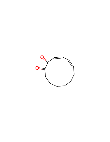 O=C1C=CC=CCCCCCCC1=O